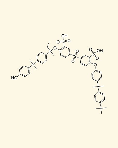 CCC(C)(Oc1ccc(S(=O)(=O)c2ccc(Oc3ccc(C(C)(C)c4ccc(C(C)(C)C)cc4)cc3)c(S(=O)(=O)O)c2)cc1S(=O)(=O)O)c1ccc(C(C)(C)c2ccc(O)cc2)cc1